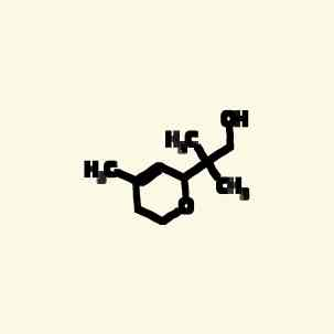 CC1=CC(C(C)(C)CO)OCC1